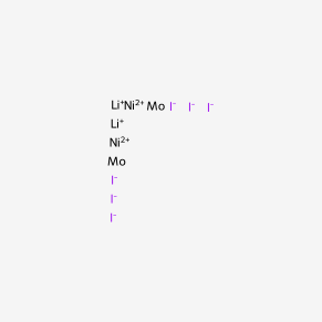 [I-].[I-].[I-].[I-].[I-].[I-].[Li+].[Li+].[Mo].[Mo].[Ni+2].[Ni+2]